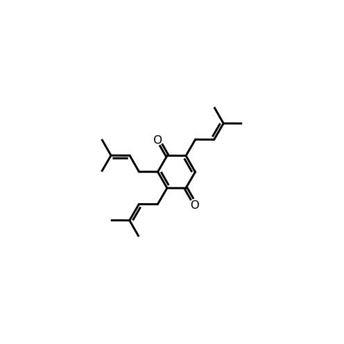 CC(C)=CCC1=CC(=O)C(CC=C(C)C)=C(CC=C(C)C)C1=O